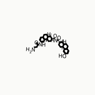 C[C@@H]1[C@@H](C(=O)NC(=O)[C@H]2CC[C@]3(C)c4cc(NC(=O)CCN)ccc4CC[C@H]3[C@@H]2C)CC[C@]2(C)c3cc(O)ccc3CC[C@@H]12